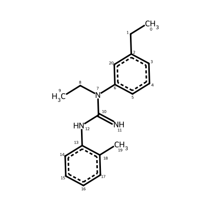 CCc1cccc(N(CC)C(=N)Nc2ccccc2C)c1